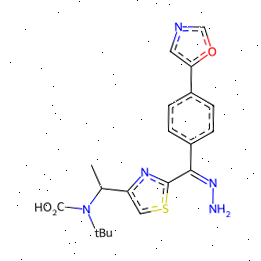 CC(c1csc(/C(=N\N)c2ccc(-c3cnco3)cc2)n1)N(C(=O)O)C(C)(C)C